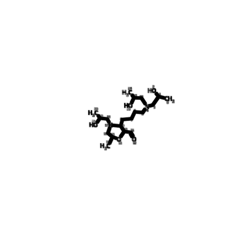 CC(O)CN(CCCCC1C(C=O)OC(C)CN1CC(C)O)CC(C)O